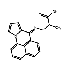 CC(ON=c1c2nccc3cccc(c32)n2cccc12)C(=O)O